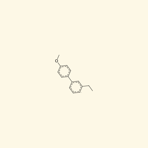 CCc1[c]ccc(-c2ccc(OC)cc2)c1